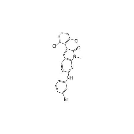 Cn1c(=O)c(-c2c(Cl)cccc2Cl)cc2cnc(Nc3cccc(Br)c3)nc21